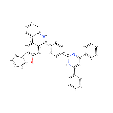 c1ccc(-c2cc(-c3ccccc3)nc(-c3ccc(-c4nc5ccccc5c5cc6c(cc45)oc4ccccc46)cc3)n2)cc1